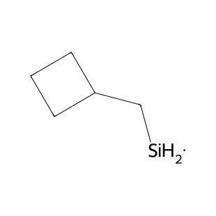 [SiH2]CC1CCC1